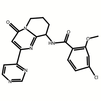 COc1cc(Cl)ccc1C(=O)NC1CCCn2c1nc(-c1ccncn1)cc2=O